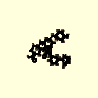 CC(=O)N1CC[C@@H](CN2CCC[C@@H](Cc3ccc(F)cc3)C2)[C@@H](NC(=O)Nc2cccc(-c3nnnn3C)c2)C1